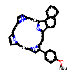 CCCCOc1ccc(-c2cc3cc4nc(cc5ccc(cc6nc(cc2[nH]3)-c2ccc3ccccc3c2-6)[nH]5)C=C4)cc1